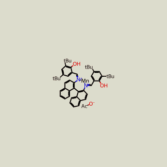 CC(=O)[O-].CC(C)(C)c1cc(C=[N+]2[Mn][N+](=Cc3cc(C(C)(C)C)cc(C(C)(C)C)c3O)c3ccc4ccccc4c3-c3c2ccc2ccccc32)c(O)c(C(C)(C)C)c1